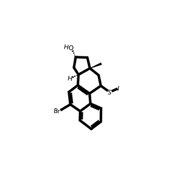 C[C@@]12CC(SI)c3c(cc(Br)c4ccccc34)[C@H]1C[C@H](O)C2